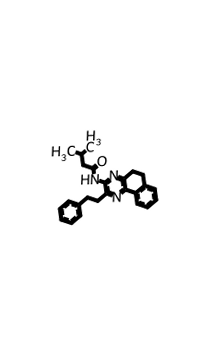 CC(C)CC(=O)Nc1nc2c(nc1CCc1ccccc1)-c1ccccc1CC2